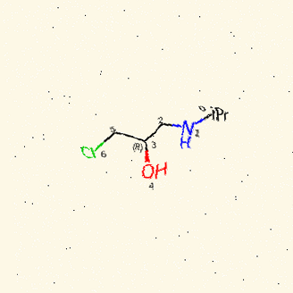 CC(C)NC[C@@H](O)CCl